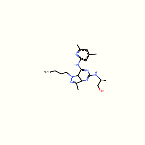 COCCCN1N=C(C)C2N=C(N[C@@H](C)CO)N=C(Nc3cc(C)cc(C)n3)C21